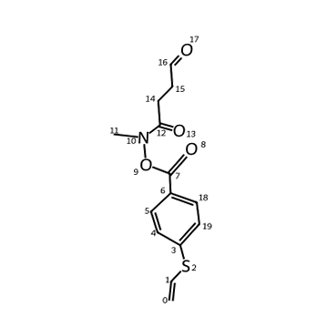 C=CSc1ccc(C(=O)ON(C)C(=O)CCC=O)cc1